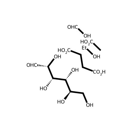 CC(=O)O.CCO.O=C(O)CCC(=O)O.O=CO.O=C[C@H](O)[C@@H](O)[C@H](O)[C@H](O)CO